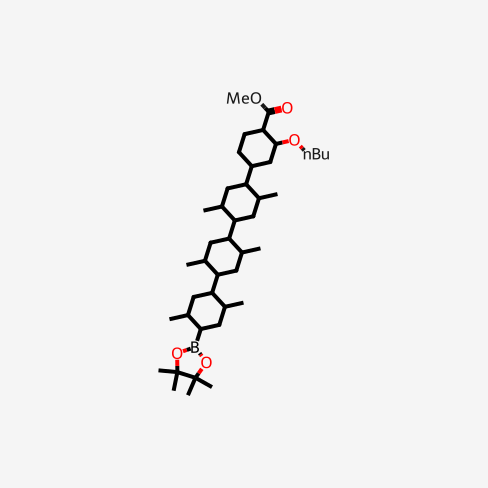 CCCCOC1CC(C2CC(C)C(C3CC(C)C(C4CC(C)C(B5OC(C)(C)C(C)(C)O5)CC4C)CC3C)CC2C)CCC1C(=O)OC